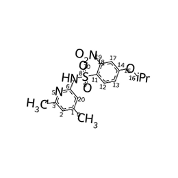 Cc1cc(C)nc(NS(=O)(=O)c2ccc(OC(C)C)cc2[N+](=O)[O-])c1